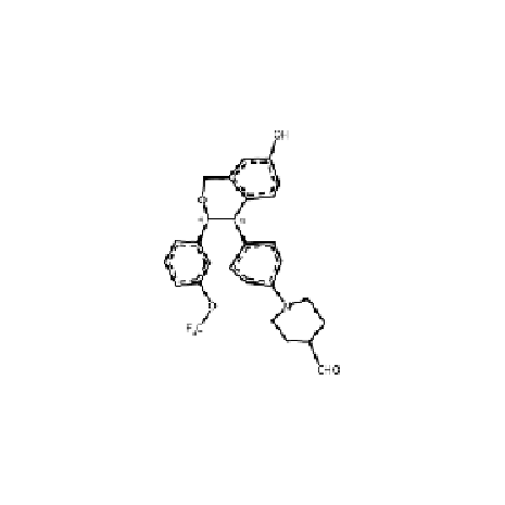 O=CC1CCN(c2ccc([C@@H]3c4ccc(O)cc4CO[C@@H]3c3cccc(OC(F)(F)F)c3)cc2)CC1